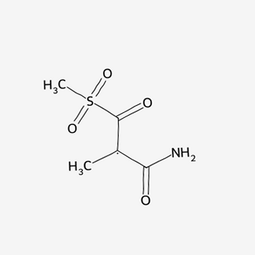 C[C](C(N)=O)C(=O)S(C)(=O)=O